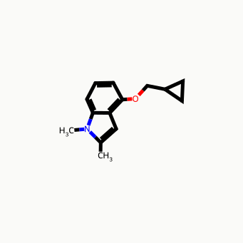 Cc1cc2c(OCC3CC3)cccc2n1C